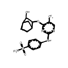 NS(=O)(=O)c1ccc(Nc2ncc(C(F)(F)F)c(OC3C4CCC(C4)C3O)n2)cc1